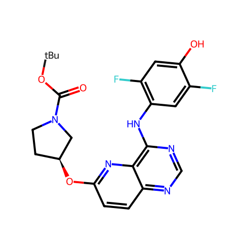 CC(C)(C)OC(=O)N1CC[C@H](Oc2ccc3ncnc(Nc4cc(F)c(O)cc4F)c3n2)C1